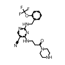 N#Cc1cnc(NCc2ccccc2OC(F)(F)F)nc1NCCC(=O)N1CCNCC1